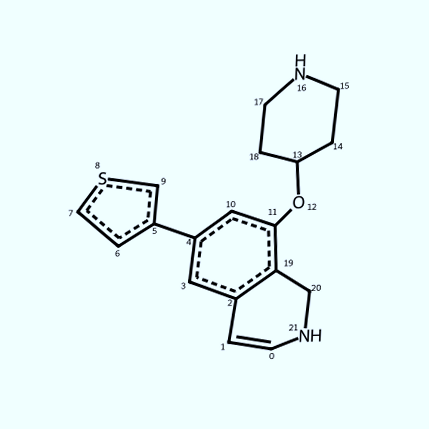 C1=Cc2cc(-c3ccsc3)cc(OC3CCNCC3)c2CN1